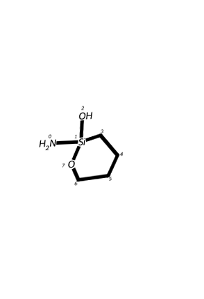 N[Si]1(O)CCCCO1